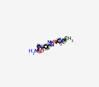 CC(C)(F)CN1CCC(COc2cnc(-c3ccc(C(=O)N4CCCC4C(N)=O)cc3F)cn2)CC1